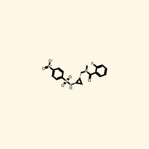 CN(C[C@@H]1C[C@H]1NS(=O)(=O)c1ccc([N+](=O)[O-])cc1)C(=O)c1ccccc1F